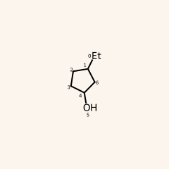 [CH2]CC1CCC(O)C1